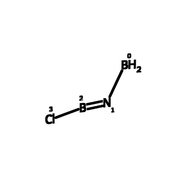 B/N=B/Cl